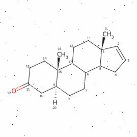 C[C@@]12C=CCC1C1CC[C@H]3CC(=O)CC[C@]3(C)C1CC2